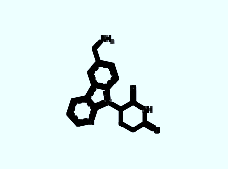 NCc1ccc2c(c1)c1cccnc1n2C1CCC(=O)NC1=O